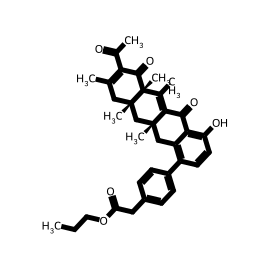 CCCOC(=O)Cc1ccc(-c2ccc(O)c3c2C[C@]2(C)C[C@]4(C)CC(C)=C(C(C)=O)C(=O)[C@]4(C)C(C)=C2C3=O)cc1